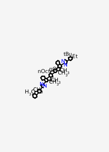 CCCCCCCCC1(CCCCCCCC)c2cc3c(cc2-c2cc4c(cc21)-c1c(cc(-c2ncc(-c5ccc6c(c5)C(C)(C)c5ccccc5-6)cn2)c2ccccc12)C4(C)C)C(C)(C)c1cc(-c2ncc(-c4ccc(CC)c(C(C)(C)C)c4)cn2)c2ccccc2c1-3